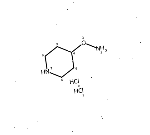 Cl.Cl.NOC1CCNCC1